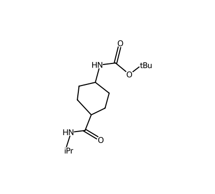 CC(C)NC(=O)C1CCC(NC(=O)OC(C)(C)C)CC1